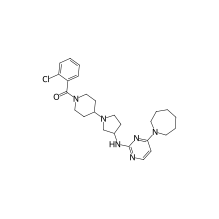 O=C(c1ccccc1Cl)N1CCC(N2CCC(Nc3nccc(N4CCCCCC4)n3)C2)CC1